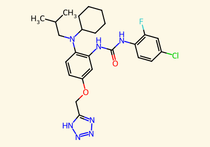 CC(C)CN(c1ccc(OCc2nnn[nH]2)cc1NC(=O)Nc1ccc(Cl)cc1F)C1CCCCC1